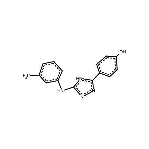 Oc1ccc(-c2nnc(Nc3cccc(C(F)(F)F)c3)[nH]2)cc1